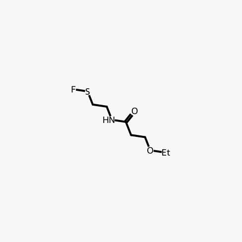 CCOCCC(=O)NCCSF